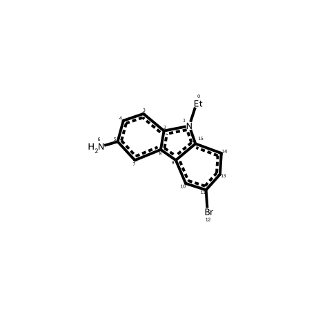 CCn1c2ccc(N)cc2c2cc(Br)ccc21